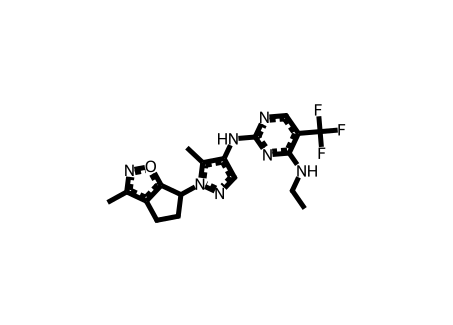 CCNc1nc(Nc2cnn(C3CCc4c(C)noc43)c2C)ncc1C(F)(F)F